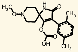 CON1CCC2(CC1)NC(=O)C(c1cc(C)ccc1C)=C2OC(=O)O